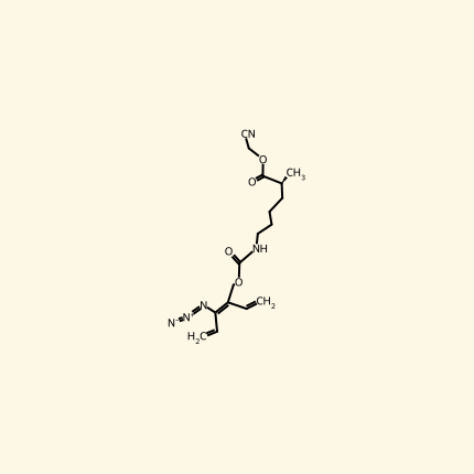 C=C/C(COC(=O)NCCCC[C@H](C)C(=O)OCC#N)=C(\C=C)N=[N+]=[N-]